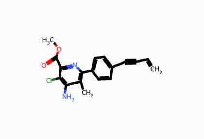 C=CC#Cc1ccc(-c2nc(C(=O)OC)c(Cl)c(N)c2C)cc1